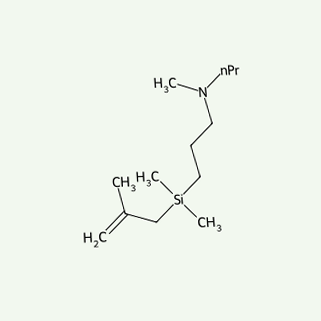 C=C(C)C[Si](C)(C)CCCN(C)CCC